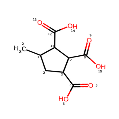 CC1CC(C(=O)O)C(C(=O)O)C1C(=O)O